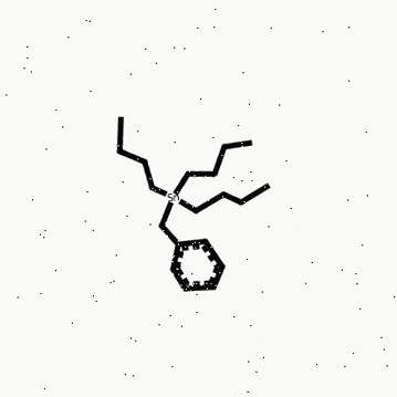 CCC[CH2][Sn]([CH2]CCC)([CH2]CCC)[CH2]c1ccccc1